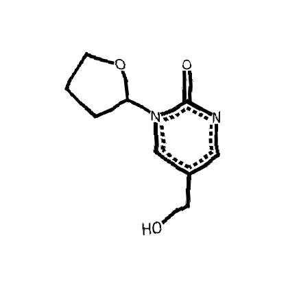 O=c1ncc(CO)cn1C1CCCO1